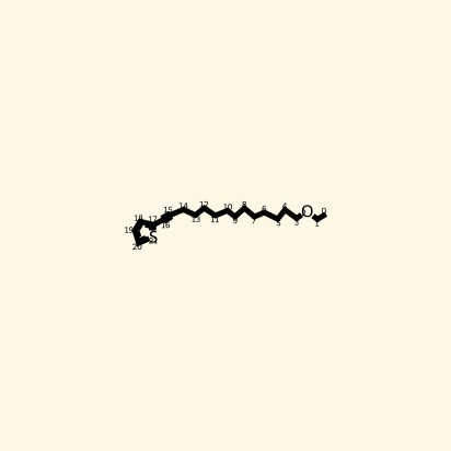 CCOCCCCCCCCCCCCC#Cc1cccs1